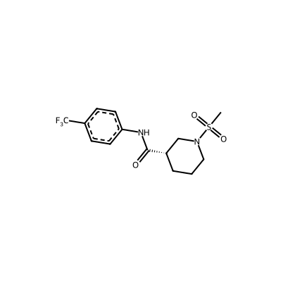 CS(=O)(=O)N1CCC[C@H](C(=O)Nc2ccc(C(F)(F)F)cc2)C1